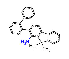 CC1(C)c2ccccc2-c2ccc(-c3ccccc3-c3ccccc3)c(N)c21